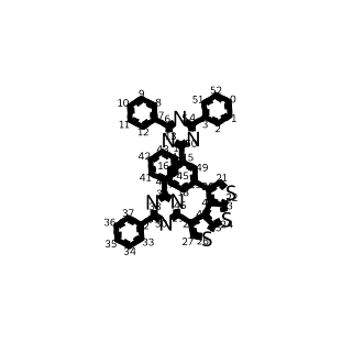 c1ccc(-c2nc(-c3ccccc3)nc(-c3cccc(-c4csc5sc6scc(-c7nc(-c8ccccc8)nc(-c8ccccc8)n7)c6c45)c3)n2)cc1